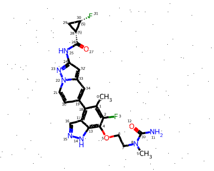 Cc1c(F)c(OCCN(C)C(N)=O)c2[nH]ncc2c1-c1ccn2nc(NC(=O)[C@@H]3C[C@@H]3F)cc2c1